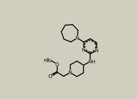 CCCCOC(=O)CN1CCC(Nc2nccc(N3CCCCCC3)n2)CC1